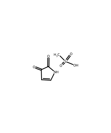 CS(=O)(=O)O.O=C1C=CNC1=O